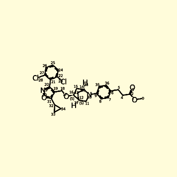 COC(=O)CCc1ccc(N2C[C@@H]3C[C@H]2C[C@@H]3OCc2c(-c3c(Cl)cccc3Cl)noc2C2CC2)cc1